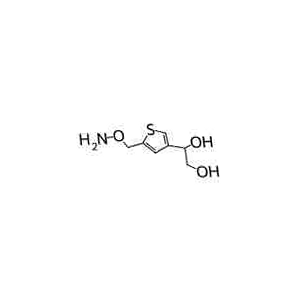 NOCc1cc(C(O)CO)cs1